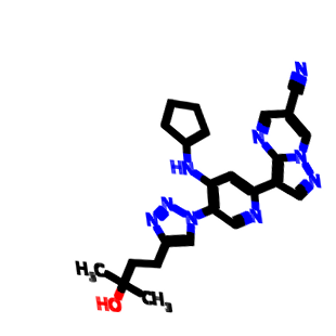 CC(C)(O)CCc1cn(-c2cnc(-c3cnn4cc(C#N)cnc34)cc2NC2CCCC2)nn1